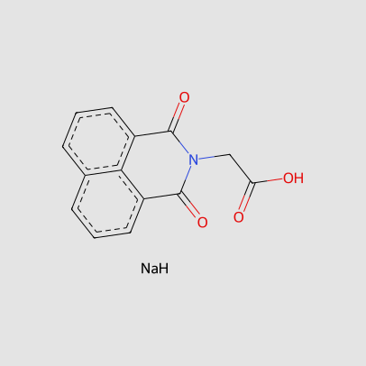 O=C(O)CN1C(=O)c2cccc3cccc(c23)C1=O.[NaH]